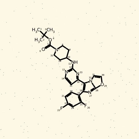 CC(C)(C)OC(=O)N1CCC(Nc2nccc(-c3c(-c4ccc(F)cc4F)nc4occn34)n2)CC1